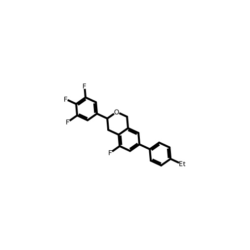 CCc1ccc(-c2cc(F)c3c(c2)COC(c2cc(F)c(F)c(F)c2)C3)cc1